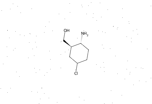 N[C@@H]1CCC(Cl)C[C@H]1CO